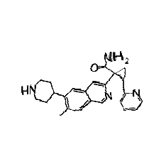 Cc1cc2cnc(C3(C(N)=O)CC3c3ccccn3)cc2cc1C1CCNCC1